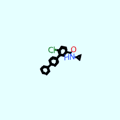 O=C(NC1CC1)c1ccc(Cl)c(-c2ccc(-c3ccccc3)cc2)c1